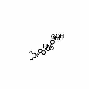 CCCCN(CCCC)Cc1cccc2c(CONC(=O)c3ccc(C(=O)NO)cc3)cccc12